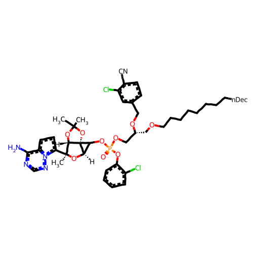 CCCCCCCCCCCCCCCCCCOC[C@H](COP(=O)(Oc1ccccc1Cl)OC1[C@H]2O[C@@](C)(c3ccc4c(N)ncnn34)[C@@H]3OC(C)(C)O[C@]123)OCc1ccc(C#N)c(Cl)c1